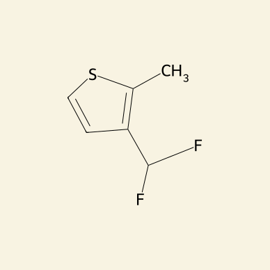 Cc1sccc1C(F)F